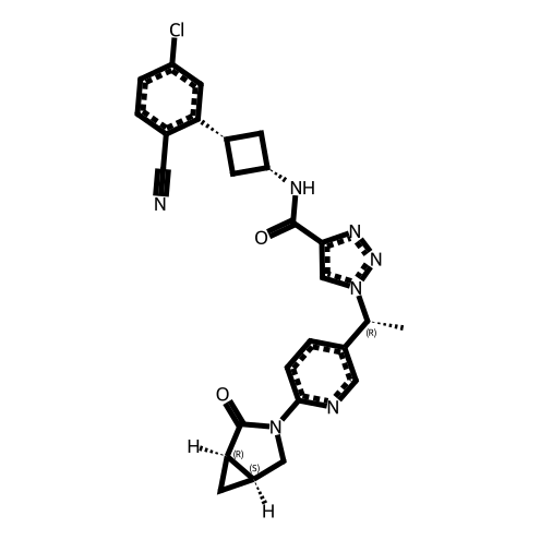 C[C@H](c1ccc(N2C[C@H]3C[C@H]3C2=O)nc1)n1cc(C(=O)N[C@H]2C[C@@H](c3cc(Cl)ccc3C#N)C2)nn1